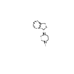 CN1CCN(C2[CH]Cc3ccccc32)CC1